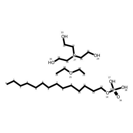 CCCCCCCCCCCCCCOP(=O)(O)O.CCOCC.OCCN(CCO)CCO